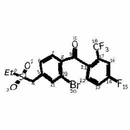 CCS(=O)(=O)Cc1ccc(C(=O)c2ccc(F)cc2C(F)(F)F)c(Br)c1